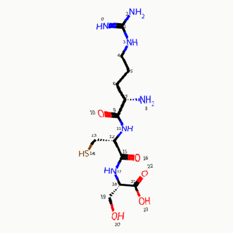 N=C(N)NCCC[C@H](N)C(=O)N[C@@H](CS)C(=O)N[C@@H](CO)C(=O)O